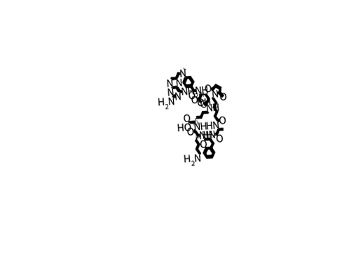 CC(NC(=O)CCCCCN1C(=O)C=CC1=O)C(=O)NC(Cc1ccccc1)C(=O)N[C@@H](CCCCN)C(=O)N[C@@H](CCCCNC(=O)CC[C@H](NC(=O)c1ccc(N(C)Cc2cnc3nc(N)nc(N)c3n2)cc1)C(=O)O)C(=O)O